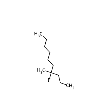 CCCCCCC(C)(F)CCC